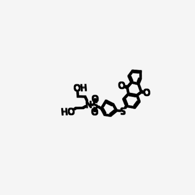 O=C1c2ccccc2C(=O)c2cc(Sc3ccc(S(=O)(=O)N(CCO)CCO)cc3)ccc21